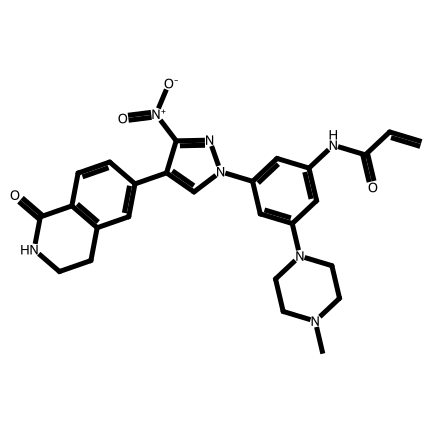 C=CC(=O)Nc1cc(N2CCN(C)CC2)cc(-n2cc(-c3ccc4c(c3)CCNC4=O)c([N+](=O)[O-])n2)c1